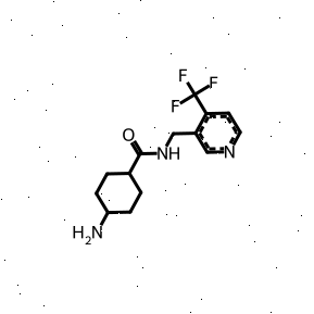 NC1CCC(C(=O)NCc2cnccc2C(F)(F)F)CC1